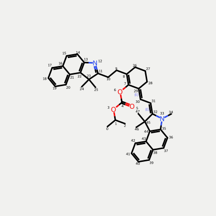 CC(C)OC(=O)OC1=C(CCC2=Nc3ccc4ccccc4c3C2(C)C)CCC/C1=C\C=C1\N(C)c2ccc3ccccc3c2C1(C)C